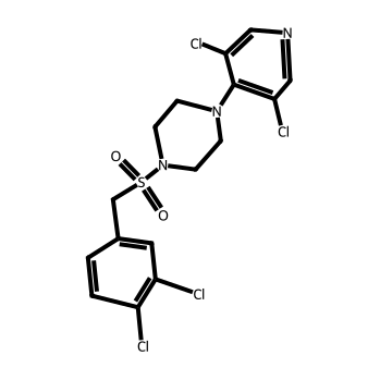 O=S(=O)(Cc1ccc(Cl)c(Cl)c1)N1CCN(c2c(Cl)cncc2Cl)CC1